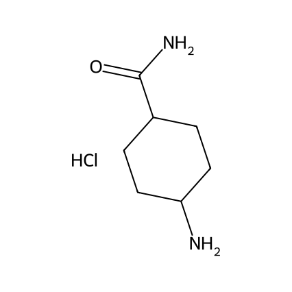 Cl.NC(=O)C1CCC(N)CC1